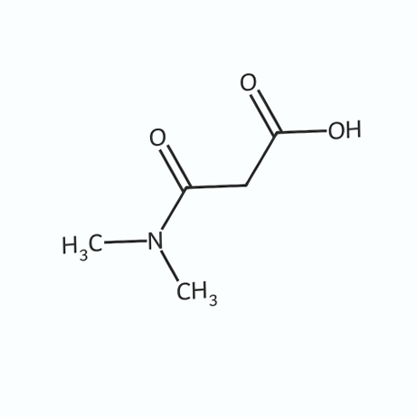 CN(C)C(=O)CC(=O)O